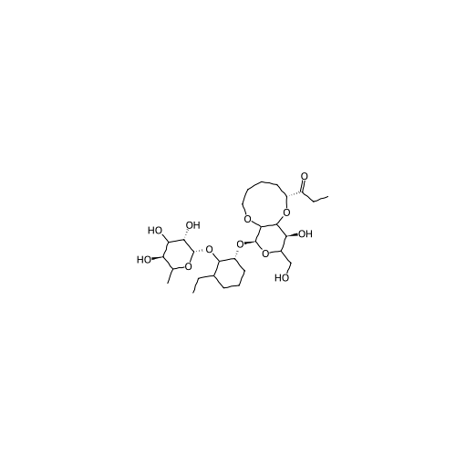 CCC(=O)[C@H]1CCCCOC2C(O1)[C@@H](O)C(CO)O[C@H]2O[C@@H]1CCCC(CC)C1O[C@@H]1OC(C)[C@@H](O)C(O)[C@@H]1O